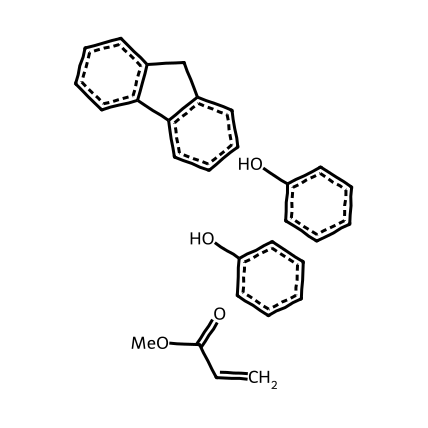 C=CC(=O)OC.Oc1ccccc1.Oc1ccccc1.c1ccc2c(c1)Cc1ccccc1-2